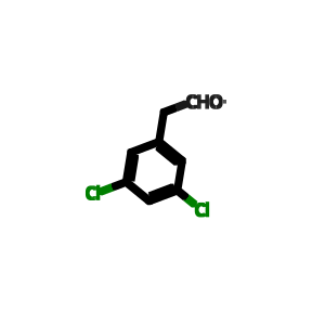 O=[C]Cc1cc(Cl)cc(Cl)c1